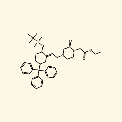 CCOC(=O)CN1CCN(C/C=C2\CN(C(c3ccccc3)(c3ccccc3)c3ccccc3)CCC2O[Si](C)(C)C(C)(C)C)CC1=O